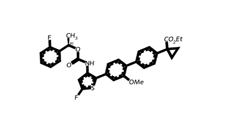 CCOC(=O)C1(c2ccc(-c3ccc(-c4sc(F)cc4NC(=O)O[C@H](C)c4ccccc4F)cc3OC)cc2)CC1